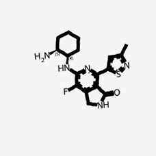 Cc1cc(-c2nc(N[C@@H]3CCCC[C@@H]3N)c(F)c3c2C(=O)NC3)sn1